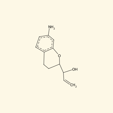 C=CC(O)C1CCc2ccc(N)cc2O1